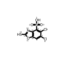 O=S(=O)(O)c1c(Cl)c(Cl)cc2oc(S)nc12